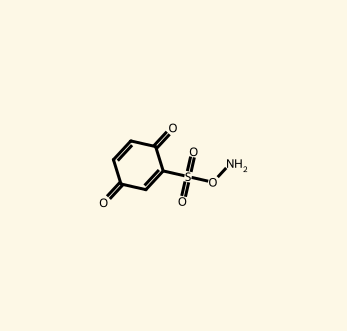 NOS(=O)(=O)C1=CC(=O)C=CC1=O